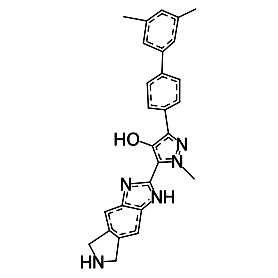 Cc1cc(C)cc(-c2ccc(-c3nn(C)c(-c4nc5cc6c(cc5[nH]4)CNC6)c3O)cc2)c1